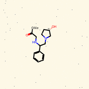 COC(=O)CNC(CN1CC[C@H](O)C1)c1ccccc1